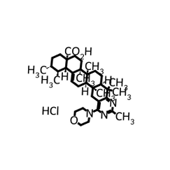 Cc1nc(N2CCOCC2)c2c(n1)C(C)(C)[C@@H]1CC[C@]3(C)[C@H](CC=C4[C@@H]5[C@@H](C)[C@H](C)CC[C@]5(C(=O)O)CC[C@]43C)[C@@]1(C)C2.Cl